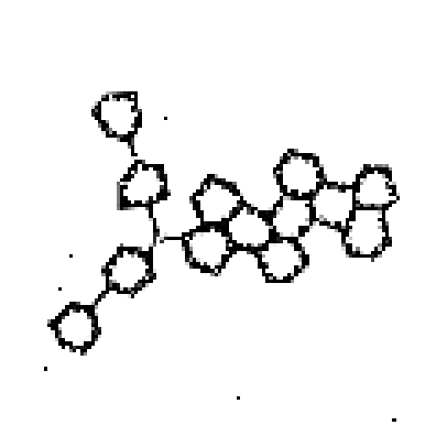 c1ccc(-c2ccc(N(c3ccc(-c4ccccc4)cc3)c3ccc4c5cccc6c5c(c5cccc3c45)c3cccc4c5cccc7cccc(c75)c6c43)cc2)cc1